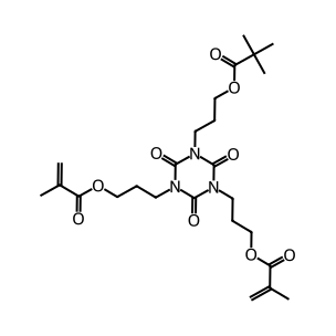 C=C(C)C(=O)OCCCn1c(=O)n(CCCOC(=O)C(=C)C)c(=O)n(CCCOC(=O)C(C)(C)C)c1=O